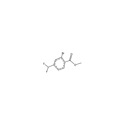 COC(=O)c1ccc(C(F)F)cc1Br